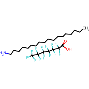 CCCCCCCCCCCCCCCCCCN.O=C(O)C(F)(F)C(F)(F)C(F)(F)C(F)(F)C(F)(F)C(F)(F)F